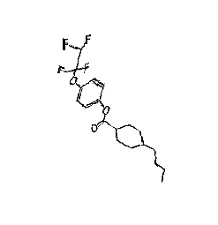 CCCCC1CCC(C(=O)Oc2ccc(OC(F)(F)C(F)F)cc2)CC1